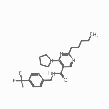 CCCCCc1ncc(C(=O)NCc2ccc(C(F)(F)F)cc2)c(N2CCCC2)n1